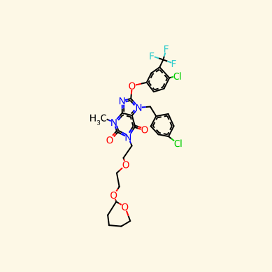 Cn1c(=O)n(CCOCCOC2CCCCO2)c(=O)c2c1nc(Oc1ccc(Cl)c(C(F)(F)F)c1)n2Cc1ccc(Cl)cc1